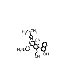 CN(C)C1CN(c2nc(N3CC[C@H](N)C3)c3cc(CCC#N)c(-c4cc(O)cc5ccccc45)c(F)c3c2C#N)C1